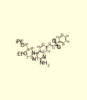 CCOCc1nc2c(N)nc3cc(C=CS(=O)(=O)c4ccccc4)ccc3c2n1CCCOC(C)C